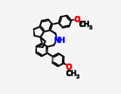 COc1ccc(-c2ccc3c4c2CNCc2c(-c5ccc(OC)cc5)ccc5c2C4(CC3)CC5)cc1